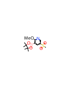 COc1ncc(S(C)(=O)=O)cc1B1OC(C)(C)C(C)(C)O1